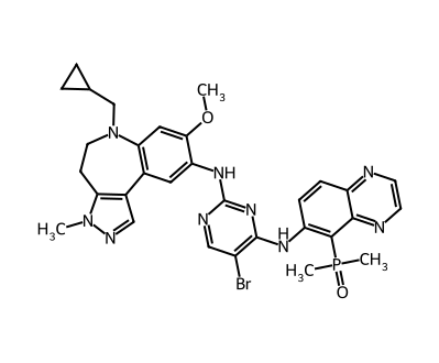 COc1cc2c(cc1Nc1ncc(Br)c(Nc3ccc4nccnc4c3P(C)(C)=O)n1)-c1cnn(C)c1CCN2CC1CC1